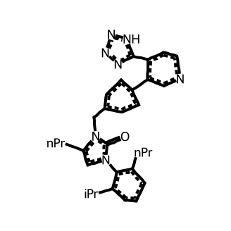 CCCc1cccc(C(C)C)c1-n1cc(CCC)n(Cc2ccc(-c3cnccc3-c3nnn[nH]3)cc2)c1=O